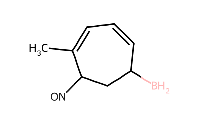 BC1C=CC=C(C)C(N=O)C1